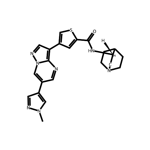 Cn1cc(-c2cnc3c(-c4csc(C(=O)N[C@H]5CN6CCC5CC6)c4)cnn3c2)cn1